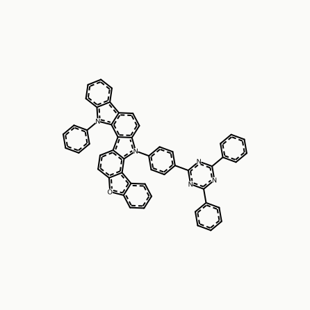 c1ccc(-c2nc(-c3ccccc3)nc(-c3ccc(-n4c5ccc6c7ccccc7n(-c7ccccc7)c6c5c5ccc6oc7ccccc7c6c54)cc3)n2)cc1